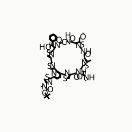 CNC(=O)C[C@@H]1NC(=O)c2csc(n2)-c2ccc(-c3nc(N(C)C(=O)OC(C)(C)C)cs3)nc2-c2csc(n2)-c2csc(n2)[C@H]([C@@H](O)c2ccccc2)NC(=O)CNC(=O)C2N=C(NC(=O)c3nc1sc3C)SC2COC